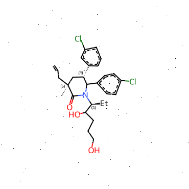 C=CC[C@@]1(C)C[C@H](c2cccc(Cl)c2)C(c2ccc(Cl)cc2)N([C@@H](CC)C(O)CCCO)C1=O